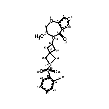 C[C@@H]1COc2conc2C(=O)N1C1CC2(C1)CN(S(=O)(=O)c1ccccc1F)C2